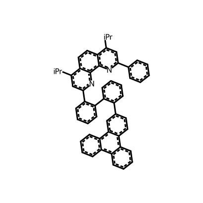 CC(C)c1cc(-c2ccccc2)nc2c1ccc1c(C(C)C)cc(-c3ccccc3-c3ccccc3-c3ccc4c5ccccc5c5ccccc5c4c3)nc12